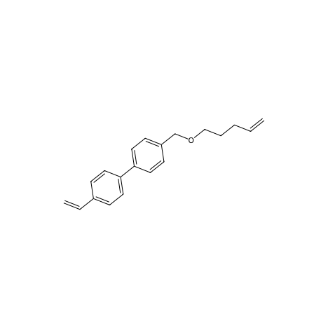 C=CCCCOCc1ccc(-c2ccc(C=C)cc2)cc1